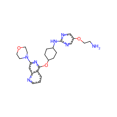 NCCOc1cnc(NC2CCC(Oc3nc(N4CCOCC4)cc4ncccc34)CC2)nc1